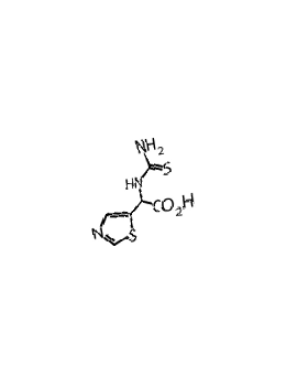 NC(=S)NC(C(=O)O)c1cncs1